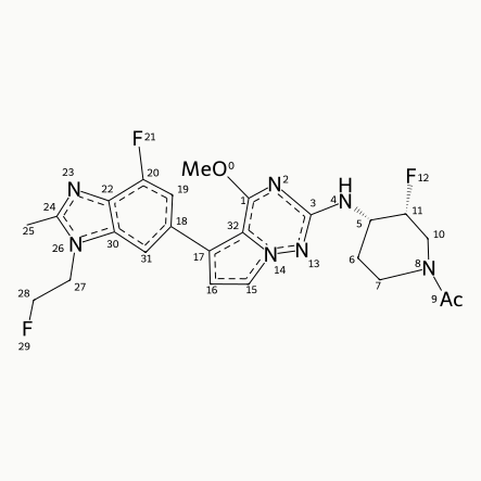 COc1nc(N[C@H]2CCN(C(C)=O)C[C@H]2F)nn2ccc(-c3cc(F)c4nc(C)n(CCF)c4c3)c12